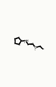 CCOCCNC1CCCC1